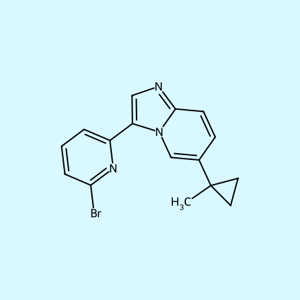 CC1(c2ccc3ncc(-c4cccc(Br)n4)n3c2)CC1